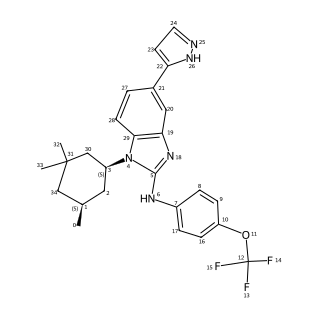 C[C@@H]1C[C@H](n2c(Nc3ccc(OC(F)(F)F)cc3)nc3cc(-c4ccn[nH]4)ccc32)CC(C)(C)C1